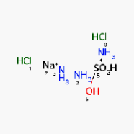 Cl.Cl.N.N.N.O=S(=O)(O)O.[Na+]